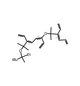 C=C/C=C(\C=C)C(C)(C)O/C(C=C)=C/C=C(\C=C)C(C)(C)OC(C)(CC)C(C)(C)C